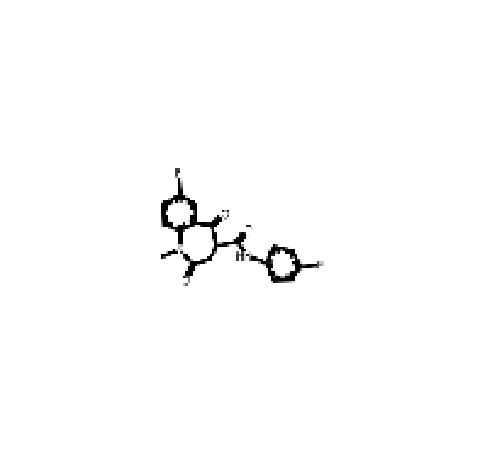 CN1C(=O)CC(C(=O)Nc2ccc(F)cc2)C(=O)c2cc(F)ccc21